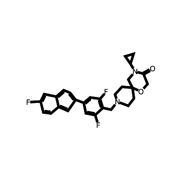 O=C1COC2(CCN(Cc3c(F)cc(-c4ccc5cc(F)ccc5c4)cc3F)CC2)CN1C1CC1